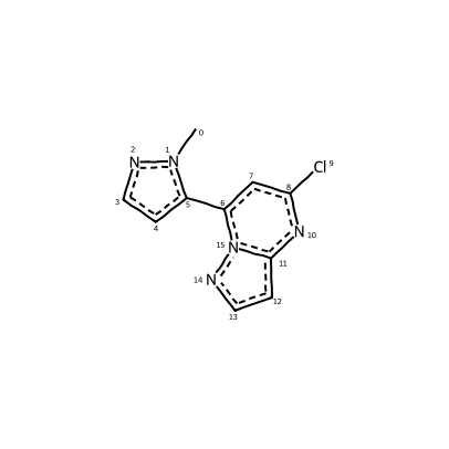 Cn1nccc1-c1cc(Cl)nc2ccnn12